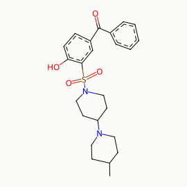 CC1CCN(C2CCN(S(=O)(=O)c3cc(C(=O)c4ccccc4)ccc3O)CC2)CC1